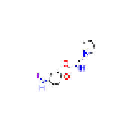 O=C(NCCN1CCCCC1)O[C@H]1CC[C@H](NI)CC1